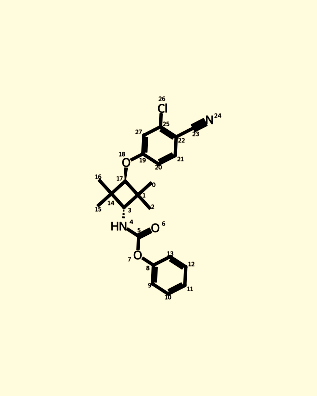 CC1(C)[C@H](NC(=O)Oc2ccccc2)C(C)(C)[C@H]1Oc1ccc(C#N)c(Cl)c1